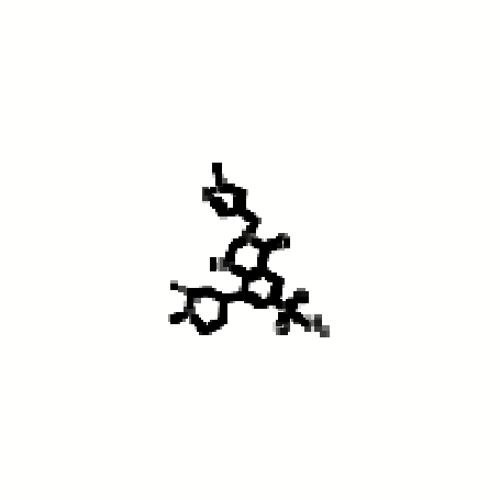 C[C@@H]1CC(c2cc(S(N)(=O)=O)cc3c2NCN(Cc2cnn(C)c2)C3=O)CCN1C